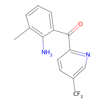 Cc1cccc(C(=O)c2ccc(C(F)(F)F)cn2)c1N